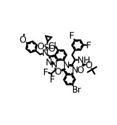 COc1ccc(CN(c2nn(CC(F)F)c3c(-n4c(C(Cc5cc(F)cc(F)c5)NC(=O)OC(C)(C)C)nc5cc(Br)ccc5c4=O)ccc(Cl)c23)S(=O)(=O)C2CC2)cc1